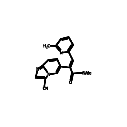 CNC(=O)/C(=C/c1cccc(C)n1)c1ccc2ncc(C#N)n2c1